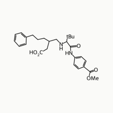 COC(=O)c1ccc(NC(=O)C(NCC(CCCc2ccccc2)CC(=O)O)C(C)(C)C)cc1